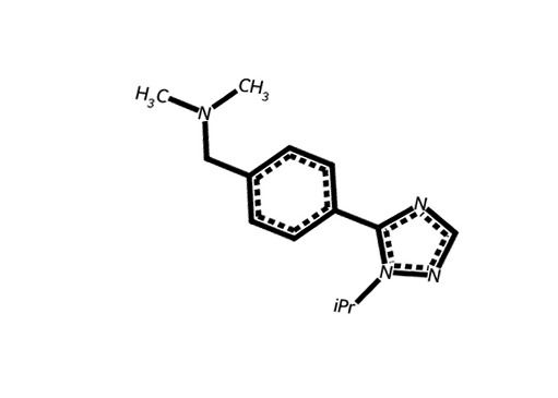 CC(C)n1ncnc1-c1ccc(CN(C)C)cc1